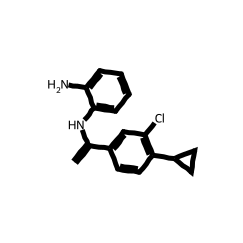 C=C(Nc1ccccc1N)c1ccc(C2CC2)c(Cl)c1